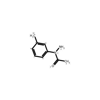 CC(=O)N(N)c1cccc(C)c1